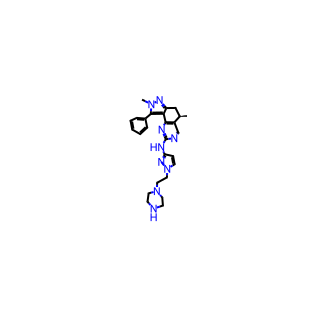 C[C@@H]1Cc2nn(C)c(-c3ccccc3)c2-c2nc(Nc3ccn(CCN4CCNCC4)n3)ncc21